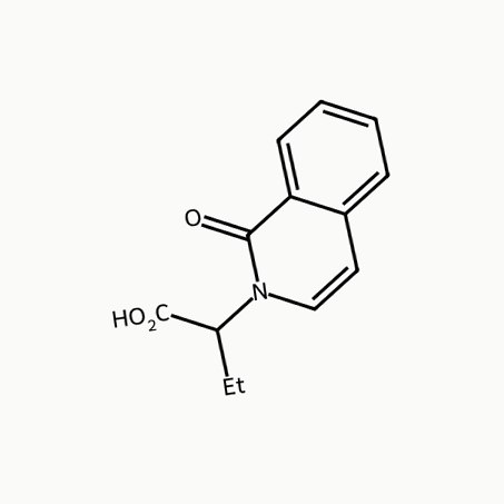 CCC(C(=O)O)n1ccc2ccccc2c1=O